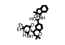 CCC1(CC)CC(=O)N([C@@H]2CC(C)(C)Oc3ccc(C(O)N[C@@H]4c5ccccc5CC4(C)O)cc32)C(=N)N1